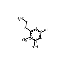 NCCc1cc(Cl)cc(O)c1Cl